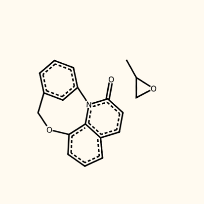 CC1CO1.O=c1ccc2cccc3c2n1-c1cccc(c1)CO3